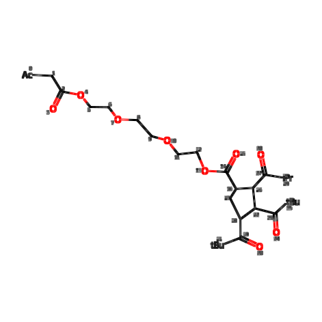 CC(=O)CC(=O)OCCOCCOCCOC(=O)C1CC(C(=O)C(C)(C)C)C(C(=O)C(C)(C)C)C1C(=O)C(C)C